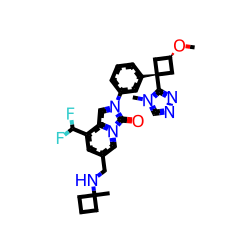 CO[C@H]1C[C@@](c2cccc(-n3cc4c(C(F)F)cc(CNC5(C)CCC5)cn4c3=O)c2)(c2nncn2C)C1